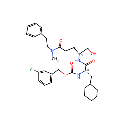 CN(CCc1ccccc1)C(=O)CC[C@@H](CO)NC(=O)[C@H](CC1CCCCC1)NC(=O)OCc1cccc(Cl)c1